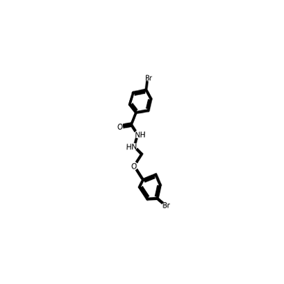 O=C(NNCOc1ccc(Br)cc1)c1ccc(Br)cc1